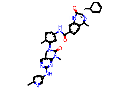 CC1=N[C@@H](CC2C=CC=CC2)C(=O)Nc2cc(C(=O)Nc3ccc(C)c(N4Cc5cnc(Nc6ccc(C)nc6)nc5N(C)C4=O)c3)ccc21